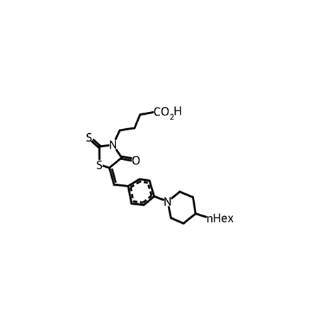 CCCCCCC1CCN(c2ccc(C=C3SC(=S)N(CCCC(=O)O)C3=O)cc2)CC1